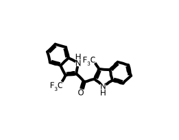 O=C(c1[nH]c2ccccc2c1C(F)(F)F)c1[nH]c2ccccc2c1C(F)(F)F